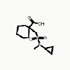 CN(C1CC1)S(=O)(=O)CC1(C(=O)O)CCCCC1